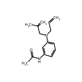 C=CCN(CC(=C)C)c1cccc(NC(C)=O)c1